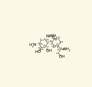 N[C@@H]1C[C@H](N)C([C@H]2O[C@H]([C@@H](N)CO)CC[C@H]2N)[C@H](O)[C@H]1O